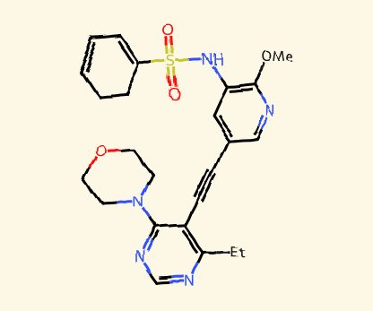 CCc1ncnc(N2CCOCC2)c1C#Cc1cnc(OC)c(NS(=O)(=O)C2=CC=CCC2)c1